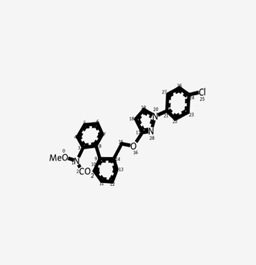 CON(C(=O)O)c1ccccc1-c1ccccc1COc1ccn(-c2ccc(Cl)cc2)n1